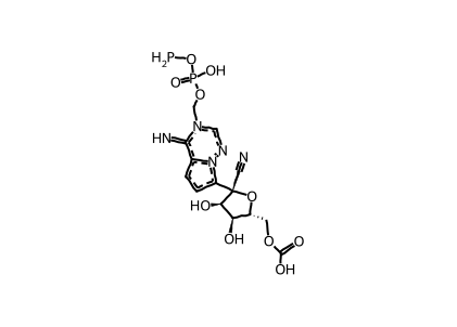 N#C[C@@]1(c2ccc3c(=N)n(COP(=O)(O)OP)cnn23)O[C@H](COC(=O)O)[C@@H](O)[C@H]1O